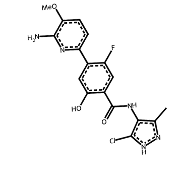 COc1ccc(-c2cc(O)c(C(=O)Nc3c(C)n[nH]c3Cl)cc2F)nc1N